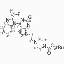 CC(C)(C)OC(=O)N1CCN(CCn2cnc3c(-n4c(C(F)F)nc5ccccc54)nc(Cl)nc32)CC1